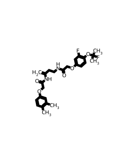 C=C(CCNC(=O)COc1ccc(OC(C)(C)F)c(F)c1)NC(=O)COc1ccc(C)c(C)c1